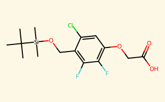 CC(C)(C)[Si](C)(C)OCc1c(Cl)cc(OCC(=O)O)c(F)c1F